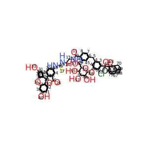 COC1(c2cc(Cc3ccc(C(=O)NCCNC(=S)Nc4ccc5c(c4)C(=O)OC54c5ccc(O)cc5Oc5cc(O)ccc54)cc3)cc(O[C@@H]3OC(CO)[C@H](O)C(O)[C@@H]3O)c2Cl)OOC12C1CC3CC(C1)CC2C3